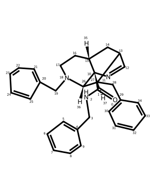 O=C(NCc1ccccc1)[C@]12N=CC3C[C@H]1CCN(Cc1ccccc1)[C@H]2[C@@H]3Cc1ccccc1